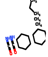 C.C.C1CCCCC1.C1CCCCC1.CCC.N=C=O.N=C=O